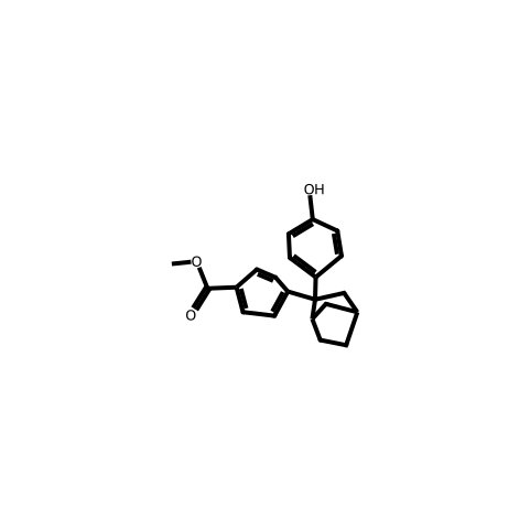 COC(=O)c1ccc(C2(c3ccc(O)cc3)CC3CCC2C3)cc1